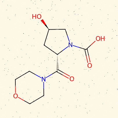 O=C([C@@H]1C[C@@H](O)CN1C(=O)O)N1CCOCC1